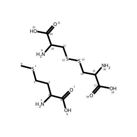 CSCCC(N)C(=O)O.NC(CSSCC(N)C(=O)O)C(=O)O